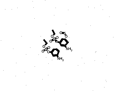 CCOS(=O)(=O)Oc1cccc(N)c1.CCOS(=O)(=O)Oc1cccc(N)c1.O=S=O